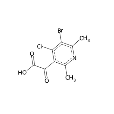 Cc1nc(C)c(C(=O)C(=O)O)c(Cl)c1Br